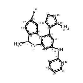 C[C@H](Nc1nc(Nc2cnccn2)cc(-c2ccnn2C)n1)c1ccc(F)cc1